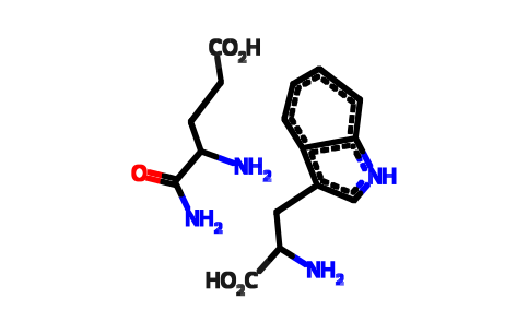 NC(=O)C(N)CCC(=O)O.NC(Cc1c[nH]c2ccccc12)C(=O)O